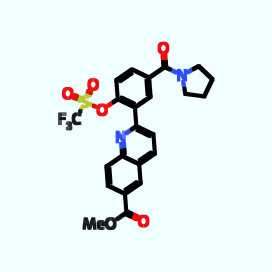 COC(=O)c1ccc2nc(-c3cc(C(=O)N4CCCC4)ccc3OS(=O)(=O)C(F)(F)F)ccc2c1